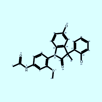 COc1cc(NC(C)=O)ccc1N1C(=O)C(C)(c2ccccc2Cl)c2cc(Cl)ccc21